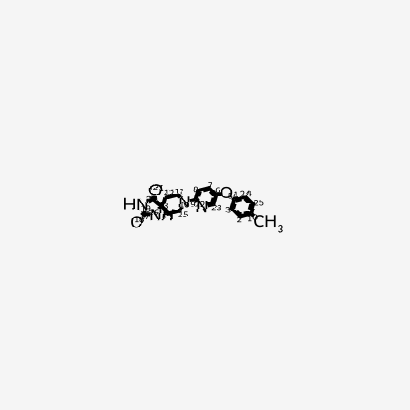 Cc1ccc(Oc2ccc(N3CCC4(CC3)NC(=O)NC4=O)nc2)cc1